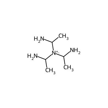 CC(N)[N+](C(C)N)C(C)N